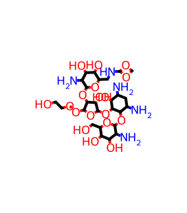 NC1CC(N)C(OC2OC(CO)C(O)C(O)C2N)C(OC2OC(OOCCO)C(OC3OC(CNC4OCO4)C(O)C(O)C3N)C2O)C1O